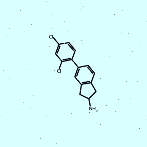 NC1Cc2ccc(-c3ccc(Cl)cc3Cl)cc2C1